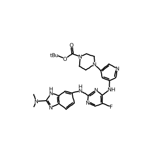 CN(C)c1nc2ccc(Nc3ncc(F)c(Nc4cncc(N5CCN(C(=O)OC(C)(C)C)CC5)c4)n3)cc2[nH]1